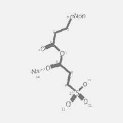 CCCCCCCCCCCC(=O)OC(=O)CCS(=O)(=O)[O-].[Na+]